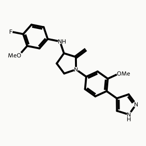 C=C1C(Nc2ccc(F)c(OC)c2)CCN1c1ccc(-c2cn[nH]c2)c(OC)c1